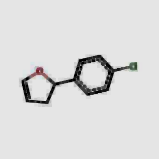 Clc1ccc([C]2CC=CO2)cc1